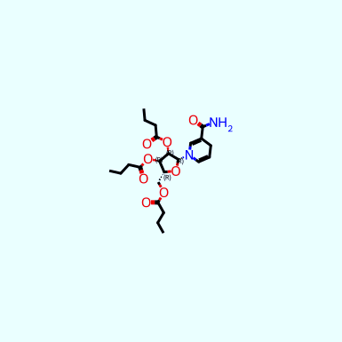 CCCC(=O)OC[C@H]1O[C@@H](N2C=CCC(C(N)=O)=C2)[C@H](OC(=O)CCC)[C@@H]1OC(=O)CCC